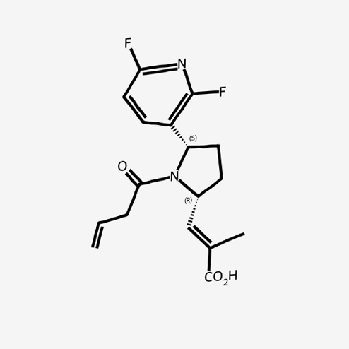 C=CCC(=O)N1[C@@H](C=C(C)C(=O)O)CC[C@H]1c1ccc(F)nc1F